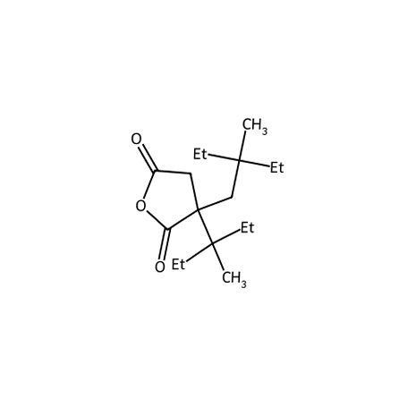 CCC(C)(CC)CC1(C(C)(CC)CC)CC(=O)OC1=O